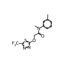 Cc1cccc(N(C)C(=O)COc2nnc(C(F)(F)F)s2)c1